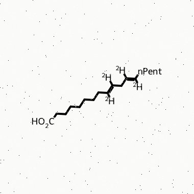 [2H]C(CCCCC)=C([2H])CC([2H])=C([2H])CCCCCCCC(=O)O